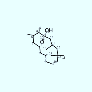 CCCCCCC(C)C(C)P(=O)(O)CC(C)CC(C)(C)C